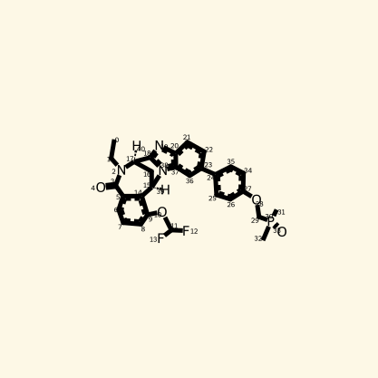 CCN1C(=O)c2cccc(OC(F)F)c2[C@H]2C[C@@H]1c1nc3ccc(-c4ccc(OCP(C)(C)=O)cc4)cc3n12